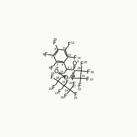 O=S(=O)(C(c1c(F)c(F)c(F)c(F)c1F)S(=O)(=O)C(F)(F)C(F)(F)C(F)(F)F)C(F)(F)C(F)(F)F